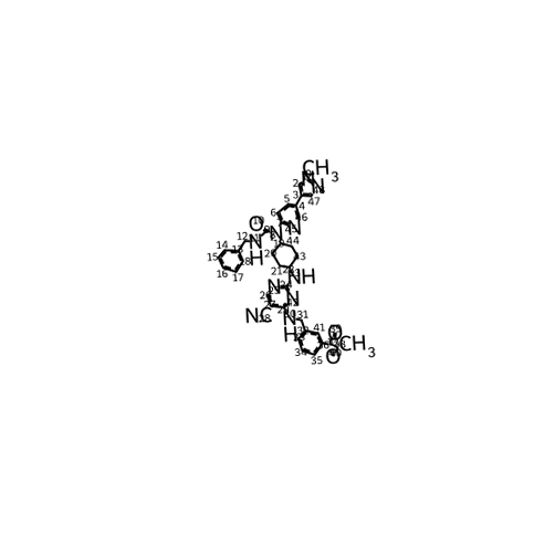 Cn1cc(-c2ccc(N(C(=O)NCc3ccccc3)C3CCC(Nc4ncc(C#N)c(NCc5cccc(S(C)(=O)=O)c5)n4)CC3)nc2)cn1